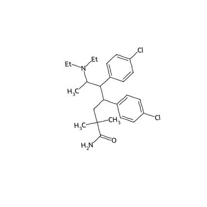 CCN(CC)C(C)C(c1ccc(Cl)cc1)C(CC(C)(C)C(N)=O)c1ccc(Cl)cc1